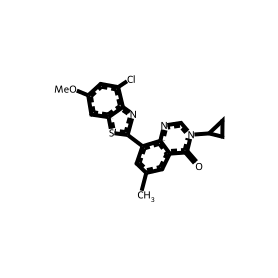 COc1cc(Cl)c2nc(-c3cc(C)cc4c(=O)n(C5CC5)cnc34)sc2c1